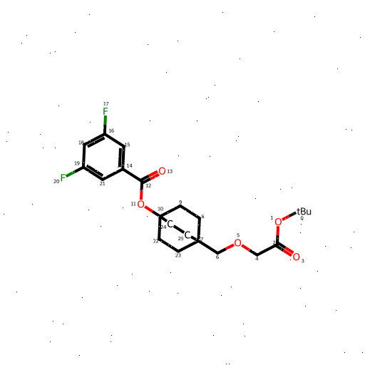 CC(C)(C)OC(=O)COCC12CCC(OC(=O)c3cc(F)cc(F)c3)(CC1)CC2